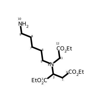 CCOC(=O)CC(C(=O)OCC)N(CCCCCN)CC(=O)OCC